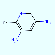 CCc1ncc(N)cc1N